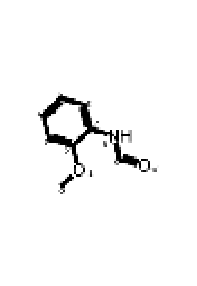 COc1c[c]ccc1NC=O